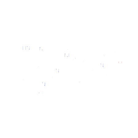 O=[N+]([O-])c1cccc2[nH]nc(-c3nc4ccc(N5CCOCC5)cc4[nH]3)c12